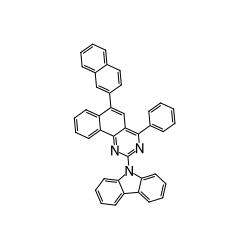 c1ccc(-c2nc(-n3c4ccccc4c4ccccc43)nc3c2cc(-c2ccc4ccccc4c2)c2ccccc23)cc1